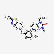 Cn1c(=O)n(CC(C)(C)C)c2ccc(-c3cc(CN4CCc5sc(C(F)(F)F)nc5C4)ccc3C#N)nc21